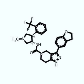 CN1C[C@@H](NC(=O)N2CCc3[nH]nc(-c4ccc5c(c4)CCO5)c3C2)[C@H](c2ccccc2C(F)(F)F)C1